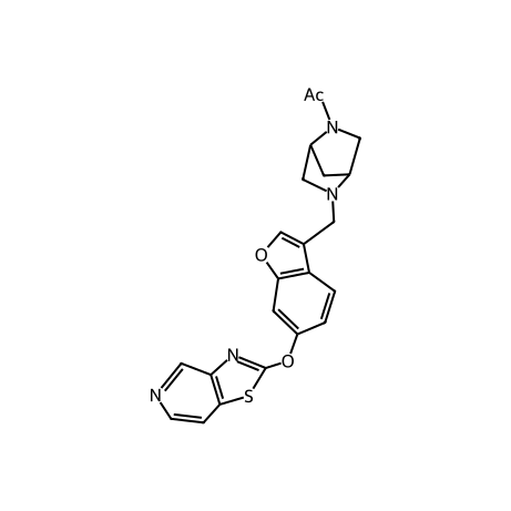 CC(=O)N1CC2CC1CN2Cc1coc2cc(Oc3nc4cnccc4s3)ccc12